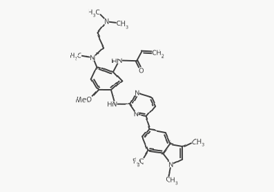 C=CC(=O)Nc1cc(Nc2nccc(-c3cc(C(F)(F)F)c4c(c3)c(C)cn4C)n2)c(OC)cc1N(C)CCN(C)C